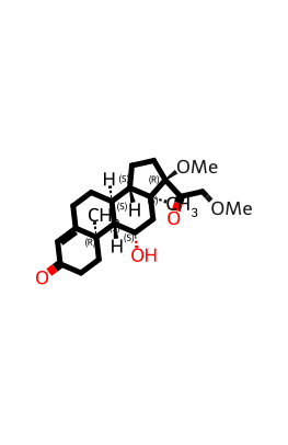 COCC(=O)[C@@]1(OC)CC[C@H]2[C@@H]3CCC4=CC(=O)CC[C@]4(C)[C@H]3[C@@H](O)C[C@@]21C